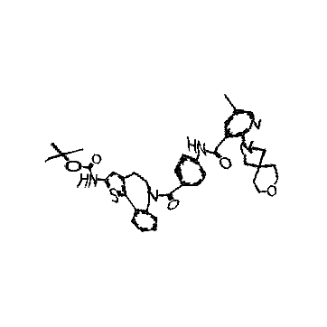 Cc1cnc(N2CC3(CCOCC3)C2)c(C(=O)Nc2ccc(C(=O)N3CCc4cc(NC(=O)OC(C)(C)C)sc4-c4ccccc43)cc2)c1